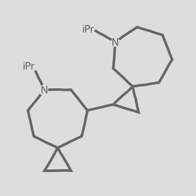 CC(C)N1CCC2(CC2)CC(C2CC23CCCCN(C(C)C)C3)C1